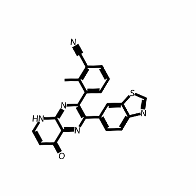 Cc1c(C#N)cccc1-c1nc2[nH]ccc(=O)c2nc1-c1ccc2ncsc2c1